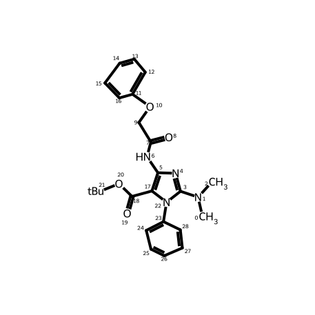 CN(C)c1nc(NC(=O)COc2ccccc2)c(C(=O)OC(C)(C)C)n1-c1ccccc1